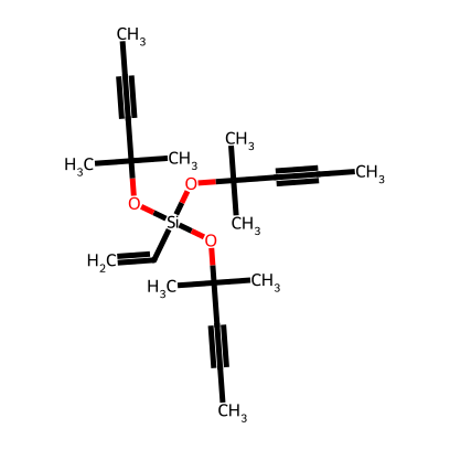 C=C[Si](OC(C)(C)C#CC)(OC(C)(C)C#CC)OC(C)(C)C#CC